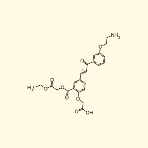 CCOC(=O)COC(=O)c1cc(/C=C/C(=O)c2cccc(OCCN)c2)ccc1OCC(=O)O